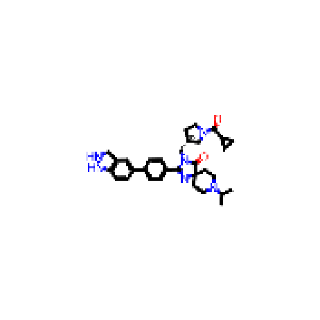 CC(C)N1CCC2(CC1)N=C(c1ccc(-c3ccc4c(c3)CNN4)cc1)N(C[C@@H]1CCN(C(=O)C3CC3)C1)C2=O